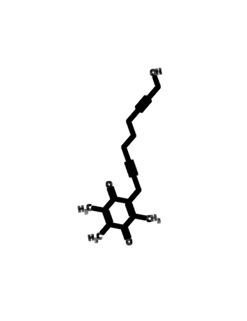 CC1=C(C)C(=O)C(CC#CCCCC#CCO)=C(C)C1=O